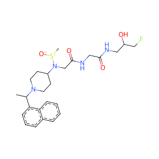 CC(c1cccc2ccccc12)N1CCC(N(CC(=O)NCC(=O)NCC(O)CF)[S+](C)[O-])CC1